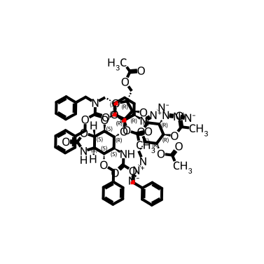 CC(=O)OC[C@H]1O[C@@H](O[C@H]2[C@H](O[C@H]3O[C@H](CN(Cc4ccccc4)C(=O)OCc4ccccc4)CC[C@H]3N=[N+]=[N-])[C@@H](NC(=O)OCc3ccccc3)[C@H](OCc3ccccc3)[C@H]3NC(=O)O[C@@H]32)[C@H](OC(C)=O)[C@@H]1O[C@H]1O[C@@H](CN=[N+]=[N-])[C@@H](OC(C)=O)[C@H](OC(C)=O)[C@H]1N=[N+]=[N-]